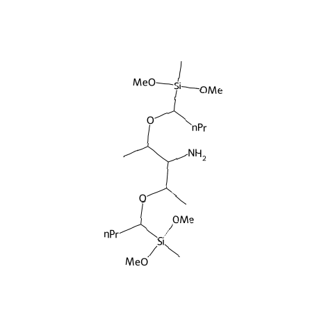 CCCC(OC(C)C(N)C(C)OC(CCC)[Si](C)(OC)OC)[Si](C)(OC)OC